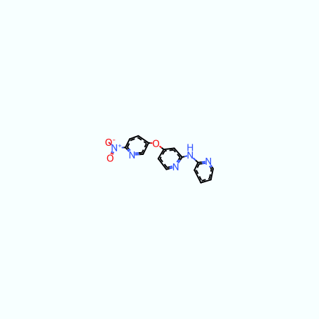 O=[N+]([O-])c1ccc(Oc2ccnc(Nc3ccccn3)c2)cn1